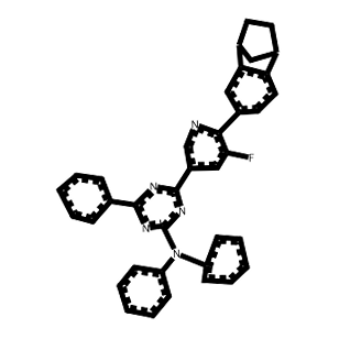 Fc1cc(-c2nc(-c3ccccc3)nc(N(c3ccccc3)c3ccccc3)n2)cnc1-c1ccc2c(c1)C1CCC2C1